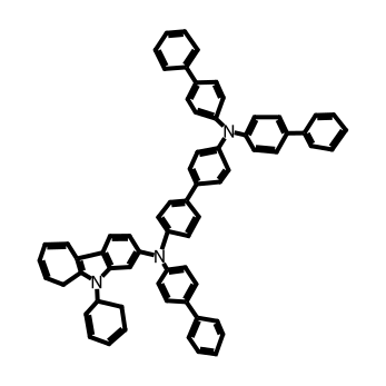 C1=CCc2c(c3ccc(N(c4ccc(-c5ccccc5)cc4)c4ccc(-c5ccc(N(c6ccc(-c7ccccc7)cc6)c6ccc(-c7ccccc7)cc6)cc5)cc4)cc3n2C2C=CC=CC2)C=C1